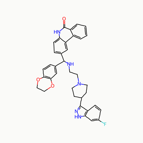 O=c1[nH]c2ccc(C(NCCN3CCC(c4n[nH]c5cc(F)ccc45)CC3)c3ccc4c(c3)OCCO4)cc2c2ccccc12